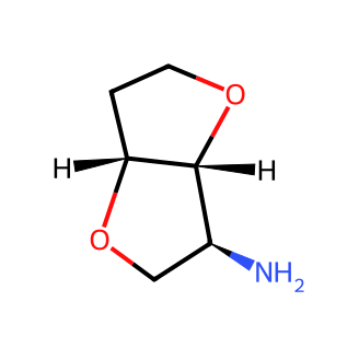 N[C@H]1CO[C@@H]2CCO[C@H]12